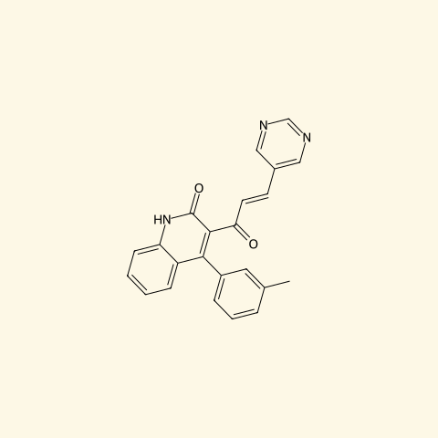 Cc1cccc(-c2c(C(=O)/C=C/c3cncnc3)c(=O)[nH]c3ccccc23)c1